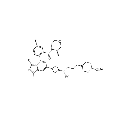 COC1CCN(CCC[C@H](C(C)C)N2CC(c3cc(-c4ccc(F)cc4C(=O)N4CCOC[C@H]4C)c4c(F)nc(C)n4c3)C2)CC1